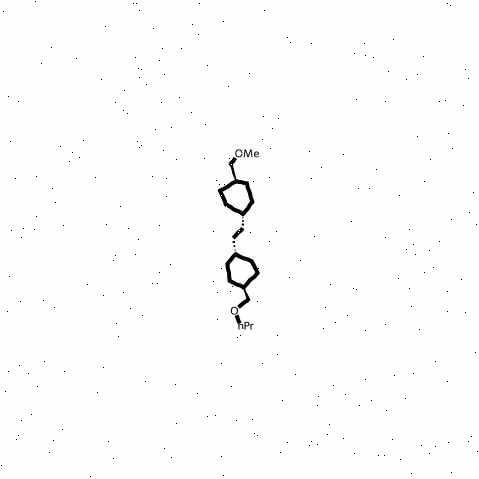 CCCOC[C@H]1CC[C@H](CC[C@H]2CC[C@H](COC)CC2)CC1